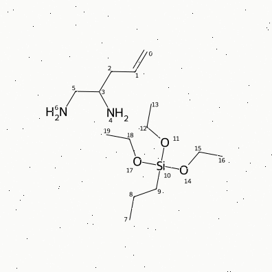 C=CCC(N)CN.CCC[Si](OCC)(OCC)OCC